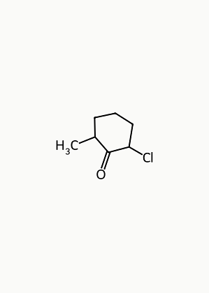 CC1CCCC(Cl)C1=O